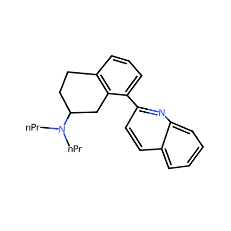 CCCN(CCC)C1CCc2cccc(-c3ccc4ccccc4n3)c2C1